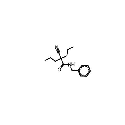 CCCC(C#N)(CCC)C(=O)NCc1ccccc1